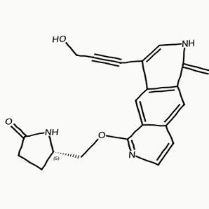 O=C1CC[C@@H](COc2nccc3cc4c(=O)[nH]cc(C#CCO)c4cc23)N1